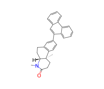 CN1C(=O)CC[C@]2(C)c3ccc(-c4cc5ccccc5c5ccccc45)cc3CC[C@@H]12